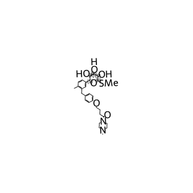 CS[C@H]1O[C@@H](c2ccc(C)c(Cc3ccc(OCCCC(=O)N4CCN(C)CC4)cc3)c2)[C@H](O)[C@@H](O)[C@@H]1O